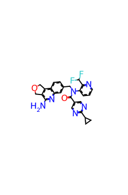 Nc1nc2cc(CN(C(=O)c3cnc(C4CC4)nc3)c3cccnc3C(F)F)ccc2c2c1COC2